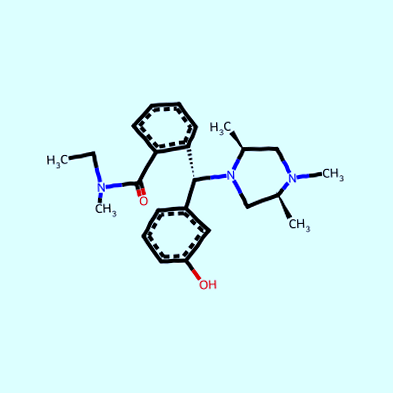 CCN(C)C(=O)c1ccccc1[C@@H](c1cccc(O)c1)N1C[C@H](C)N(C)C[C@@H]1C